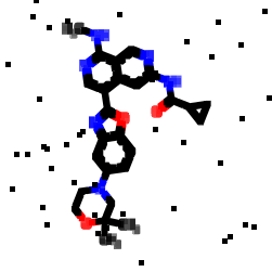 CNc1ncc(-c2nc3cc(N4CCOC(C)(C)C4)ccc3o2)c2cc(NC(=O)C3CC3)ncc12